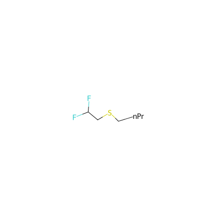 [CH2]CCCSCC(F)F